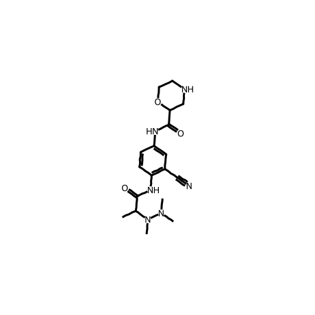 CC(C(=O)Nc1ccc(NC(=O)C2CNCCO2)cc1C#N)N(C)N(C)C